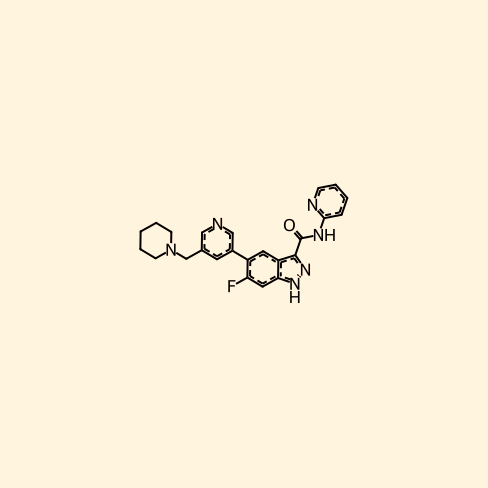 O=C(Nc1ccccn1)c1n[nH]c2cc(F)c(-c3cncc(CN4CCCCC4)c3)cc12